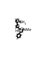 CNCCC(NC(=O)c1ccc(-c2ccnn2C)s1)c1ccccc1